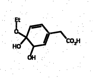 CCOC1(O)C=CC(CC(=O)O)=CC1O